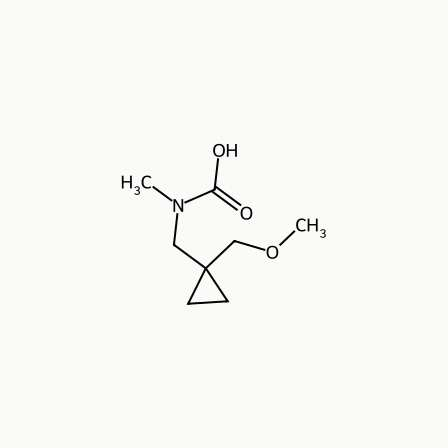 COCC1(CN(C)C(=O)O)CC1